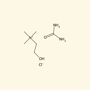 C[N+](C)(C)CCO.NC(N)=O.[Cl-]